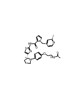 CC(=O)NCCOc1ccc(N2CCC[C@@H]2c2csc(NC(=O)c3cccn3Cc3ccnc(F)c3)n2)cc1